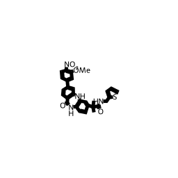 COc1cc(-c2ccc3c(c2)Nc2cc(C(C)(C)C(=O)NCc4cccs4)ccc2NC3=O)ccc1[N+](=O)[O-]